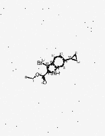 CCOC(=O)c1[nH]c2cc(C3CC3)ccc2c1Br